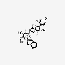 CC(C)OC(=O)[C@H](C)NP(=O)(OC[C@@]1(C(F)F)O[C@@H](n2ccc(=O)[nH]c2=O)[C@H](O)[C@@H]1F)Oc1ccc2ccccc2c1